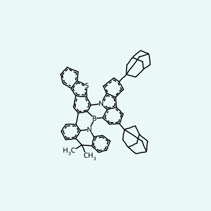 CC1(C)c2ccccc2N2B3c4c(cc5c(sc6ccccc65)c4-n4c5ccc(C67CC8CC(CC(C8)C6)C7)cc5c5cc(C67CC8CC(CC(C8)C6)C7)cc3c54)-c3cccc1c32